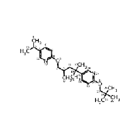 CC(COc1ccc(C(C)C)cn1)CC(C)(C)c1ccc(OCC(C)(C)C)nc1